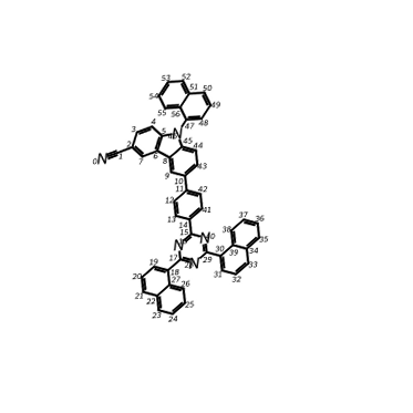 N#Cc1ccc2c(c1)c1cc(-c3ccc(-c4nc(-c5cccc6ccccc56)nc(-c5cccc6ccccc56)n4)cc3)ccc1n2-c1cccc2ccccc12